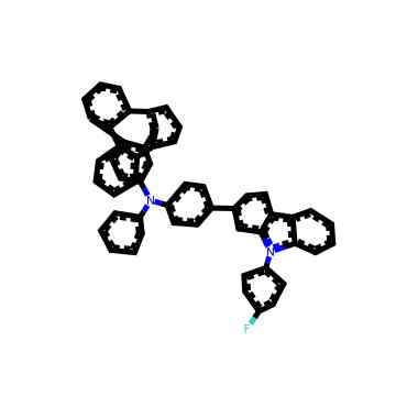 Fc1ccc(-n2c3ccccc3c3ccc(-c4ccc(N(c5ccccc5)c5ccc6c(c5)-c5c7cccc5-c5cccc-6c5-c5ccccc5-7)cc4)cc32)cc1